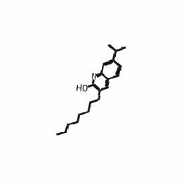 CCCCCCCCc1cc2ccc(C(C)C)cc2nc1O